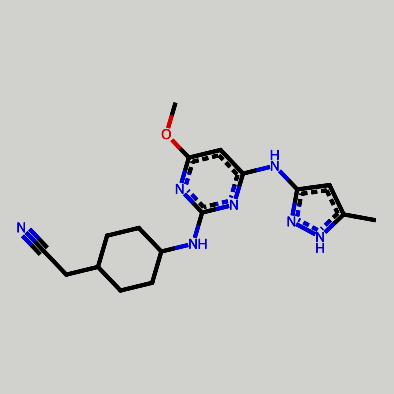 COc1cc(Nc2cc(C)[nH]n2)nc(NC2CCC(CC#N)CC2)n1